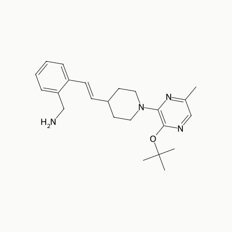 Cc1cnc(OC(C)(C)C)c(N2CCC(/C=C/c3ccccc3CN)CC2)n1